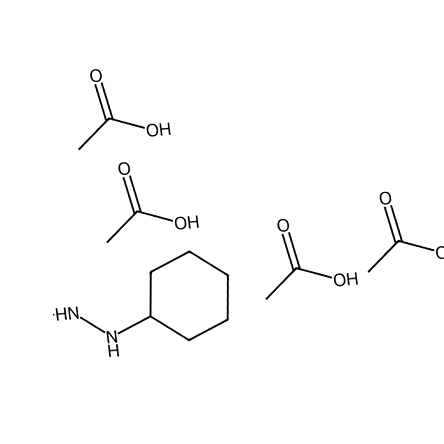 CC(=O)O.CC(=O)O.CC(=O)O.CC(=O)O.[NH]NC1CCCCC1